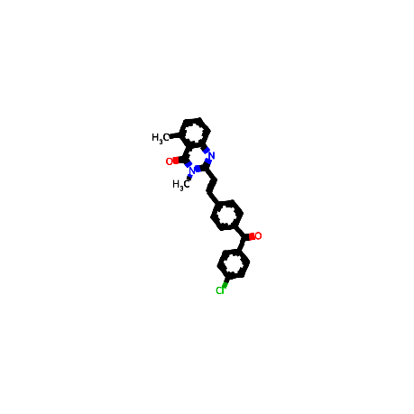 Cc1cccc2nc(C=Cc3ccc(C(=O)c4ccc(Cl)cc4)cc3)n(C)c(=O)c12